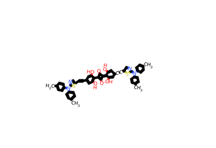 Cc1ccc(N(c2ccc(C)cc2)c2ncc(C#Cc3cc(O)c(C4=C([O-])C(=c5c(O)cc(=C=C=C6C=NC(=[N+](c7ccc(C)cc7)c7ccc(C)cc7)S6)cc5O)C4=O)c(O)c3)s2)cc1